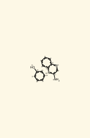 Nc1cnc2ccccc2n1.Oc1ccccc1